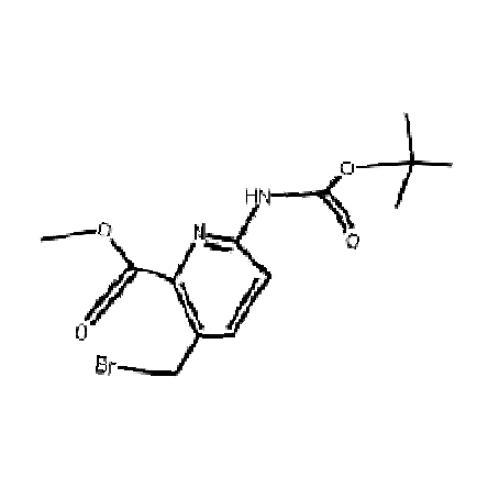 COC(=O)c1nc(NC(=O)OC(C)(C)C)ccc1CBr